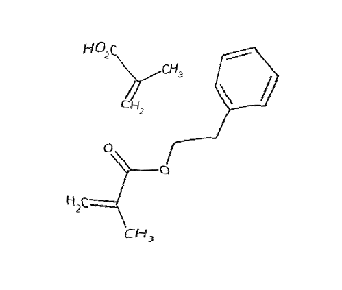 C=C(C)C(=O)O.C=C(C)C(=O)OCCc1ccccc1